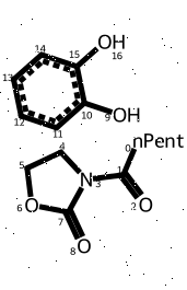 CCCCCC(=O)N1CCOC1=O.Oc1ccccc1O